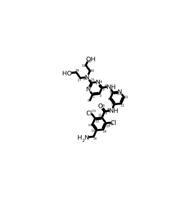 Cc1cc(Nc2cc(NC(=O)c3c(Cl)cc(CN)cc3Cl)ccn2)nc(N(CCO)CCO)n1